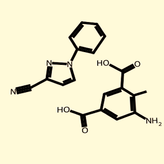 Cc1c(N)cc(C(=O)O)cc1C(=O)O.N#Cc1ccn(-c2ccccc2)n1